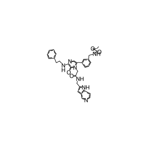 CS(=O)(=O)NCc1cccc(-c2cnc(NCCc3ccccc3)c(=O)n2CC(=O)NCc2cc3cnccc3[nH]2)c1